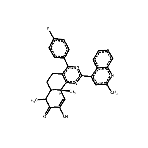 Cc1cc(-c2nc(-c3ccc(F)cc3)c3c(n2)[C@]2(C)C=C(C#N)C(=O)C(C)C2CC3)c2ccccc2n1